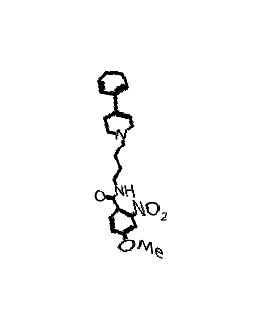 COc1ccc(C(=O)NCCCCN2CC=C(c3ccccc3)CC2)c([N+](=O)[O-])c1